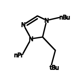 CCCCN1C=NN(CCC)C1CC(C)(C)C